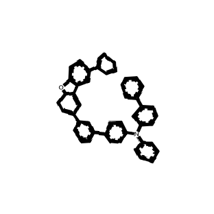 C1=CC(c2ccc3c(c2)C2=CC(c4cccc(-c5ccc(N(c6ccccc6)c6cccc(-c7ccccc7)c6)cc5)c4)=CCC2O3)=CCC1